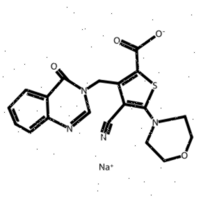 N#Cc1c(N2CCOCC2)sc(C(=O)[O-])c1Cn1cnc2ccccc2c1=O.[Na+]